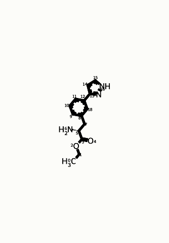 CCOC(=O)[C@H](N)Cc1cccc(-c2cc[nH]n2)c1